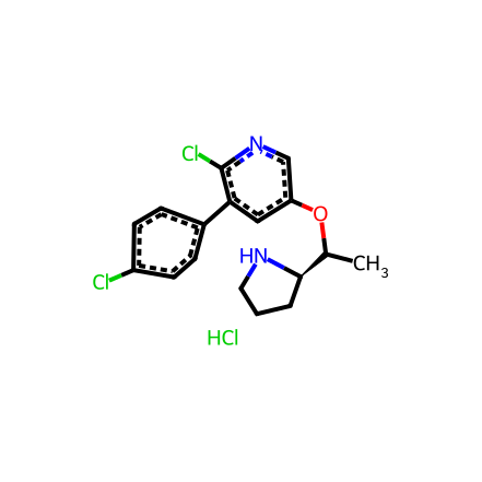 CC(Oc1cnc(Cl)c(-c2ccc(Cl)cc2)c1)[C@H]1CCCN1.Cl